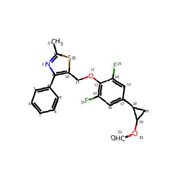 Cc1nc(-c2ccccc2)c(COc2c(F)cc(C3CC3OC=O)cc2F)s1